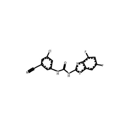 N#Cc1cc(Cl)cc(NC(=O)Nc2nc3c(F)cc(F)cc3s2)c1